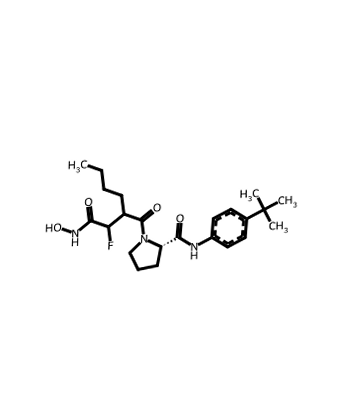 CCCCC(C(=O)N1CCC[C@H]1C(=O)Nc1ccc(C(C)(C)C)cc1)C(F)C(=O)NO